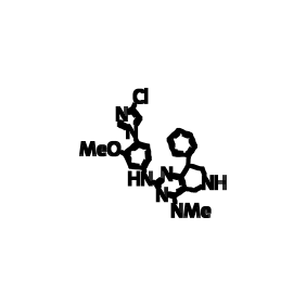 CNc1nc(Nc2ccc(-n3cnc(Cl)c3)c(OC)c2)nc2c1CNCC2c1ccccc1